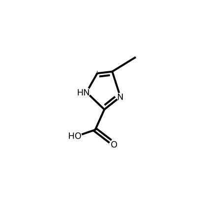 Cc1[c][nH]c(C(=O)O)n1